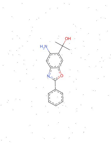 CC(C)(O)c1cc2oc(-c3ccccc3)nc2cc1N